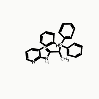 CC(c1nc2cccnc2[nH]1)[PH](c1ccccc1)(c1ccccc1)c1ccccc1